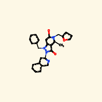 Cc1c2c(=O)n(-c3cc4ccccc4cn3)n(Cc3ccccc3)c2cc(=O)n1Cc1ccco1